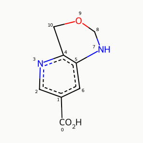 O=C(O)c1cnc2c(c1)NCOC2